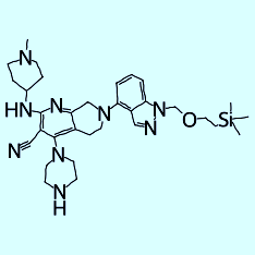 CN1CCC(Nc2nc3c(c(N4CCNCC4)c2C#N)CCN(c2cccc4c2cnn4COCC[Si](C)(C)C)C3)CC1